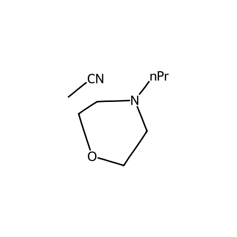 CC#N.CCCN1CCOCC1